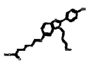 COCCCn1c(-c2ccc(O)cc2)nc2ccc(OCCCCCC(=O)OC)cc21